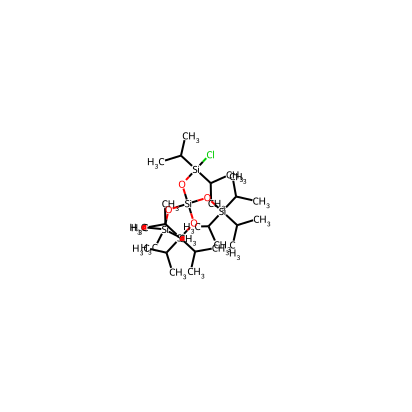 CC(C)[Si](Cl)(O[Si](O[Si](C)(C)C)(O[Si](C(C)C)(C(C)C)C(C)C)O[Si](C(C)C)(C(C)C)C(C)C)C(C)C